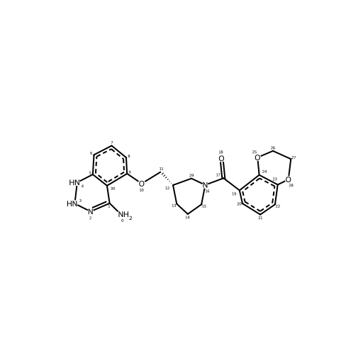 NC1=NNNc2cccc(OC[C@H]3CCCN(C(=O)c4cccc5c4OCCO5)C3)c21